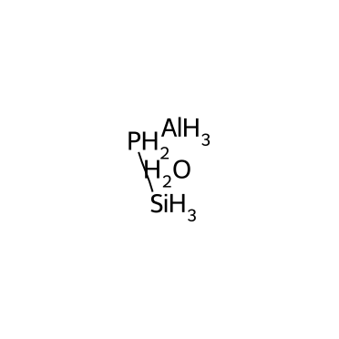 O.[AlH3].[SiH3]P